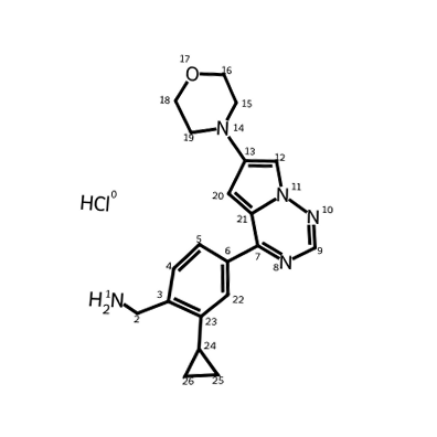 Cl.NCc1ccc(-c2ncnn3cc(N4CCOCC4)cc23)cc1C1CC1